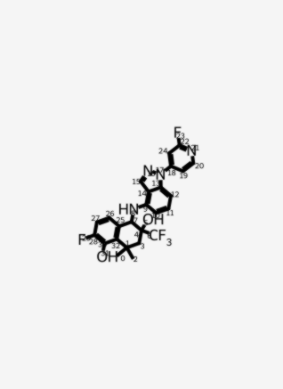 CC1(C)CC(O)(C(F)(F)F)C(Nc2cccc3c2cnn3-c2ccnc(F)c2)c2ccc(F)c(O)c21